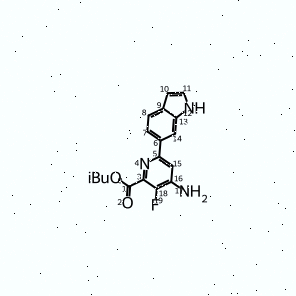 CC(C)COC(=O)c1nc(-c2ccc3cc[nH]c3c2)cc(N)c1F